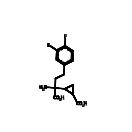 NC(CCc1ccc(F)c(F)c1)(C(=O)O)C1CC1C(=O)O